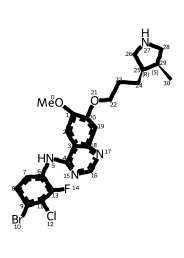 COc1cc2c(Nc3ccc(Br)c(Cl)c3F)ncnc2cc1OCCC[C@H]1CNC[C@H]1C